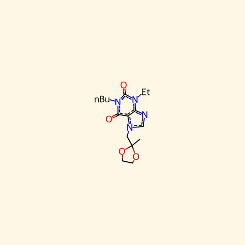 CCCCn1c(=O)c2c(ncn2CC2(C)OCCO2)n(CC)c1=O